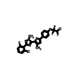 Cc1cc(-c2ccc(OC(F)(F)C(F)Cl)cc2)sc1-c1nc(-c2c(F)cccc2Cl)nn1C